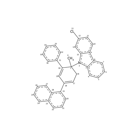 CC1(n2c3ccccc3c3ccc(Cl)cc32)CC=C(c2cccc3ccccc23)C=C1c1ccccc1